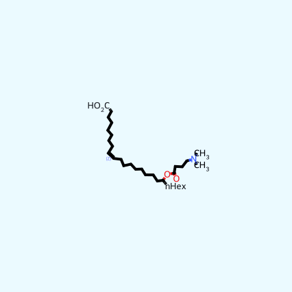 CCCCCCC(CCCCCCCC/C=C\CCCCCCCC(=O)O)OC(=O)CCCN(C)C